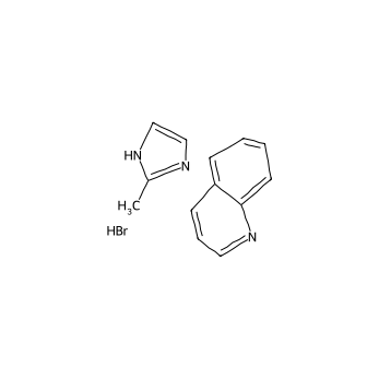 Br.Cc1ncc[nH]1.c1ccc2ncccc2c1